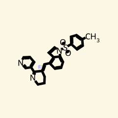 Cc1ccc(S(=O)(=O)n2ccc3c(/C=C4\CCCN=C4c4cccnc4)cccc32)cc1